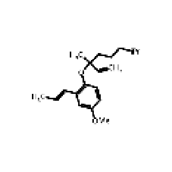 C=CC(C)(CCCC(C)C)Oc1ccc(OC)cc1C=CC